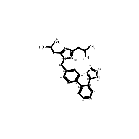 CC(C)Cc1nc(CC(C)C)n(Cc2ccc(-c3ccccc3-c3nnn[nH]3)cc2)n1